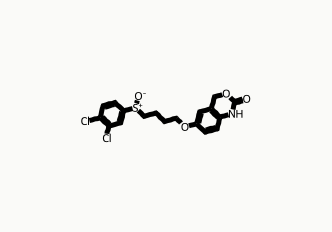 O=C1Nc2ccc(OCCCC[S+]([O-])c3ccc(Cl)c(Cl)c3)cc2CO1